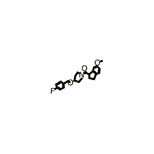 COc1ccc2c(c1)C(C(=O)N1CCC(OCc3ccc(F)cc3)CC1)CC2